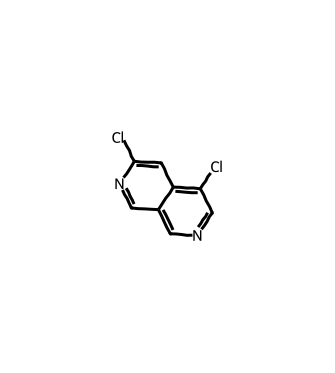 Clc1cc2c(Cl)cncc2cn1